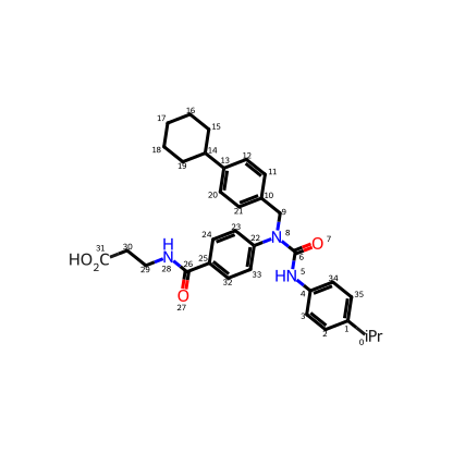 CC(C)c1ccc(NC(=O)N(Cc2ccc(C3CCCCC3)cc2)c2ccc(C(=O)NCCC(=O)O)cc2)cc1